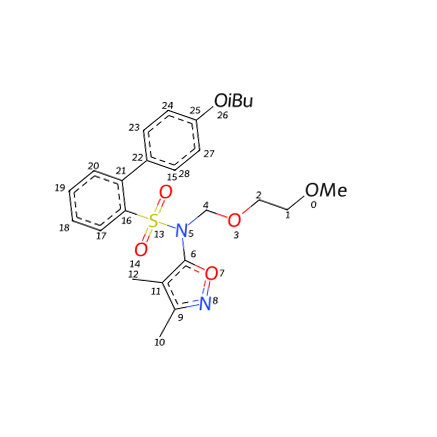 COCCOCN(c1onc(C)c1C)S(=O)(=O)c1ccccc1-c1ccc(OCC(C)C)cc1